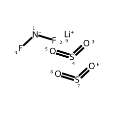 F[N-]F.O=S=O.O=S=O.[Li+]